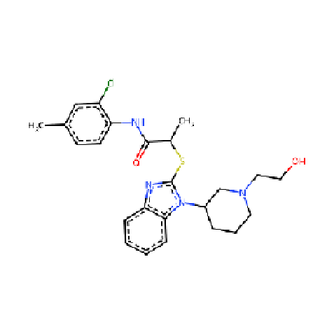 Cc1ccc(NC(=O)C(C)Sc2nc3ccccc3n2C2CCCN(CCO)C2)c(Cl)c1